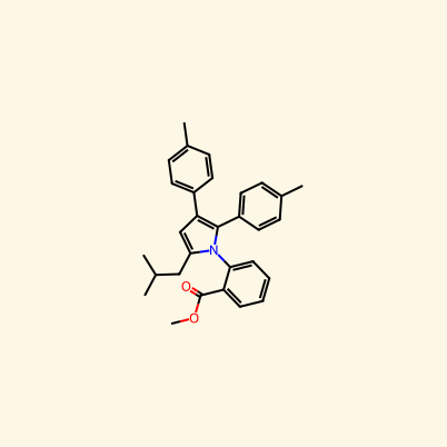 COC(=O)c1ccccc1-n1c(CC(C)C)cc(-c2ccc(C)cc2)c1-c1ccc(C)cc1